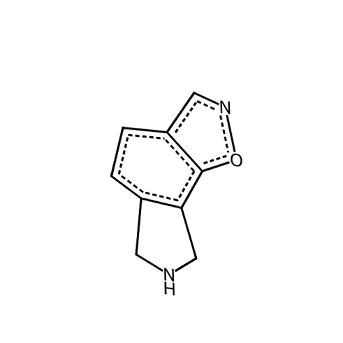 c1cc2cnoc2c2c1CNC2